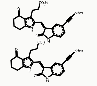 CCCCCCC#Cc1ccc2c(c1)C(=Cc1[nH]c3c(c1CCC(=O)O)C(=O)CCC3)C(=O)N2.CCCCCCC#Cc1ccc2c(c1)C(=Cc1[nH]c3c(c1CCC(=O)O)C(=O)CCC3)C(=O)N2